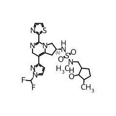 CC1CCC(CN(C)S(=O)(=O)N[C@H]2CC3=C(c4ccn(C(F)F)n4)CN=C(c4nccs4)N3C2)C1O